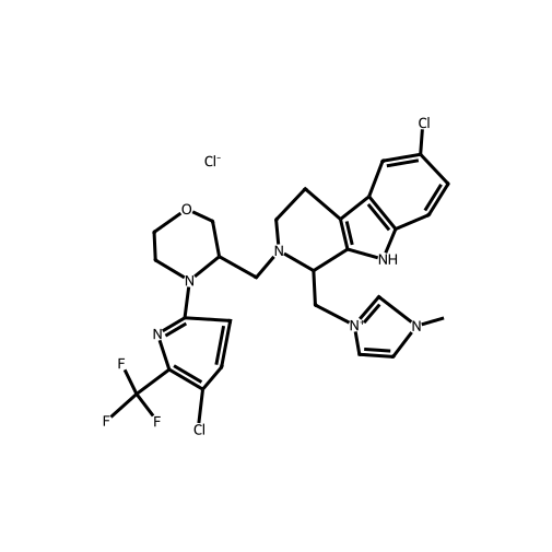 Cn1cc[n+](CC2c3[nH]c4ccc(Cl)cc4c3CCN2CC2COCCN2c2ccc(Cl)c(C(F)(F)F)n2)c1.[Cl-]